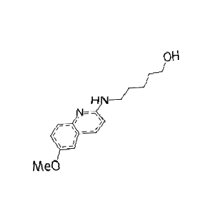 COc1ccc2nc(NCCCCCO)ccc2c1